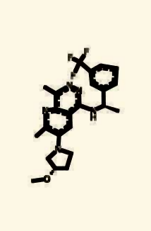 CO[C@H]1CCN(c2cc3c(N[C@H](C)c4cccc(C(F)(F)F)c4)nnc(C)c3nc2C)C1